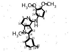 COc1ccc(Nc2nccc3c2cc(-c2cccc(F)c2)n3C)cc1OC